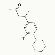 CC(=O)CC(C)c1ccc(C2CCCCC2)c(Cl)c1